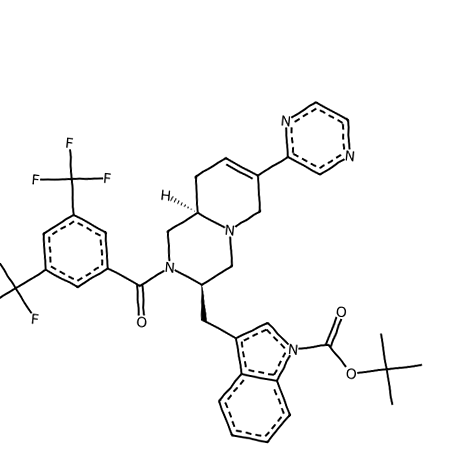 CC(C)(C)OC(=O)n1cc(C[C@@H]2CN3CC(c4cnccn4)=CC[C@@H]3CN2C(=O)c2cc(C(F)(F)F)cc(C(F)(F)F)c2)c2ccccc21